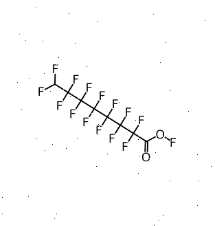 O=C(OF)C(F)(F)C(F)(F)C(F)(F)C(F)(F)C(F)(F)C(F)(F)C(F)F